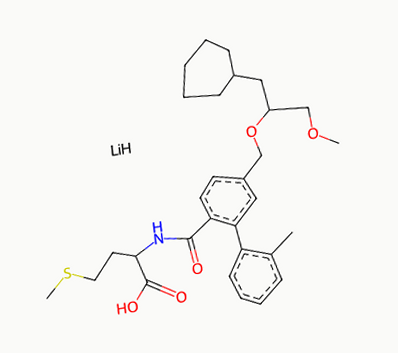 COCC(CC1CCCCC1)OCc1ccc(C(=O)NC(CCSC)C(=O)O)c(-c2ccccc2C)c1.[LiH]